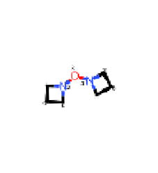 C1CN(ON2CCC2)C1